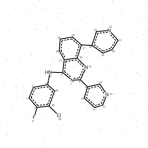 Fc1ccc(Nc2nc(-c3cccnc3)nc3c(-c4cccnc4)cccc23)cc1Cl